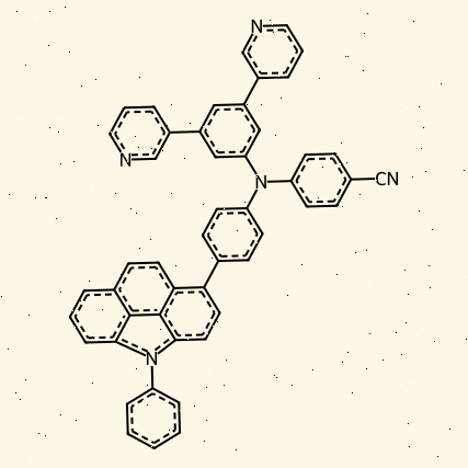 N#Cc1ccc(N(c2ccc(-c3ccc4c5c3ccc3cccc(c35)n4-c3ccccc3)cc2)c2cc(-c3cccnc3)cc(-c3cccnc3)c2)cc1